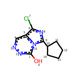 Oc1nncc2c(Cl)nc(C3CCCC3)n12